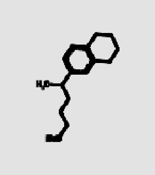 CC(C)COCCCC(C)c1ccc2c(c1)CCCC2